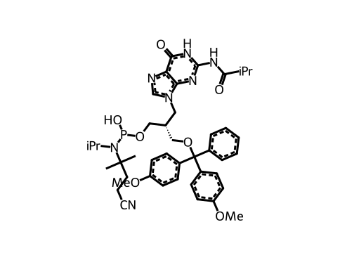 COc1ccc(C(OC[C@H](COP(O)N(C(C)C)C(C)(C)CCC#N)Cn2cnc3c(=O)[nH]c(NC(=O)C(C)C)nc32)(c2ccccc2)c2ccc(OC)cc2)cc1